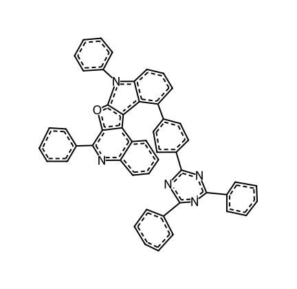 c1ccc(-c2nc(-c3ccccc3)nc(-c3ccc(-c4cccc5c4c4c6c(oc4n5-c4ccccc4)c(-c4ccccc4)nc4ccccc46)cc3)n2)cc1